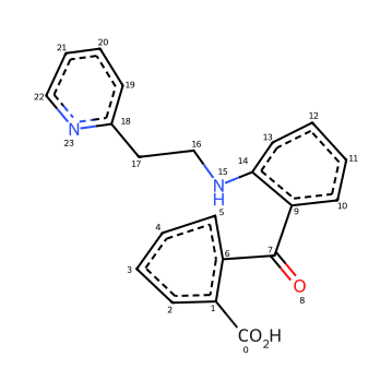 O=C(O)c1ccccc1C(=O)c1ccccc1NCCc1ccccn1